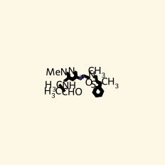 CNc1ncc(/C=C/C(=O)N(C)Cc2sc3ccccc3c2C)cc1CNC(C)(C)C=O